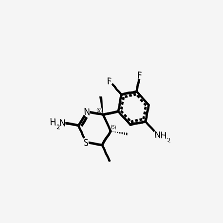 CC1SC(N)=N[C@](C)(c2cc(N)cc(F)c2F)[C@@H]1C